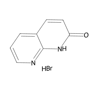 Br.O=c1ccc2cccnc2[nH]1